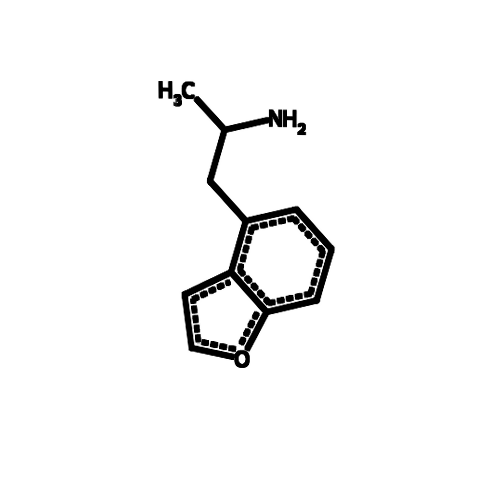 CC(N)Cc1cccc2occc12